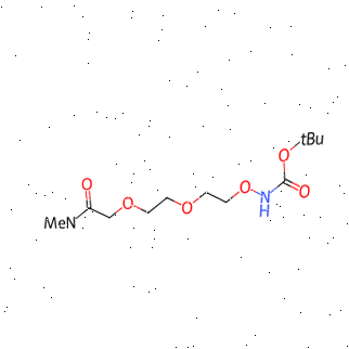 CNC(=O)COCCOCCONC(=O)OC(C)(C)C